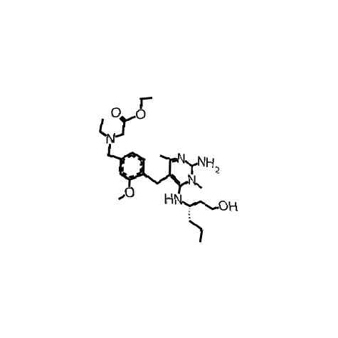 CCC[C@@H](CCO)NC1=C(Cc2ccc(CN(CC)CC(=O)OCC)cc2OC)C(C)=NC(N)N1C